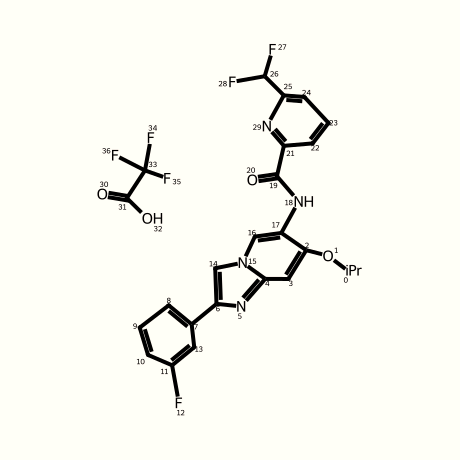 CC(C)Oc1cc2nc(-c3cccc(F)c3)cn2cc1NC(=O)c1cccc(C(F)F)n1.O=C(O)C(F)(F)F